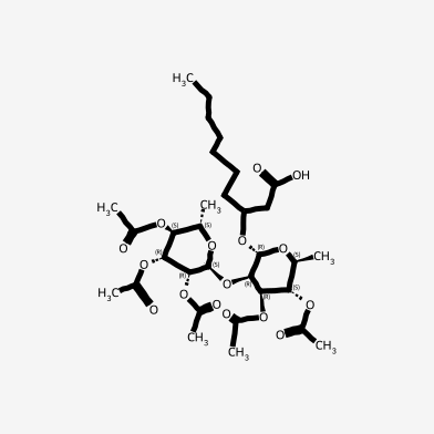 CCCCCCCC(CC(=O)O)O[C@@H]1O[C@@H](C)[C@H](OC(C)=O)[C@@H](OC(C)=O)[C@H]1O[C@@H]1O[C@@H](C)[C@H](OC(C)=O)[C@@H](OC(C)=O)[C@H]1OC(C)=O